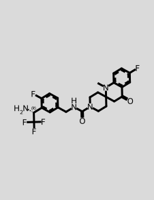 CN1c2ccc(F)cc2C(=O)CC12CCN(C(=O)NCc1ccc(F)c([C@@H](N)C(F)(F)F)c1)CC2